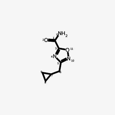 NC(=O)c1nc([CH]C2CC2)no1